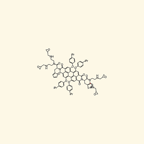 CC(C)c1ccc(Oc2cc3c4c(cc(Oc5ccc(C(C)C)cc5)c5c6c(Oc7ccc(C(C)C)cc7)cc7c8c(cc(Oc9ccc(C(C)C)cc9)c(c2c45)c86)C(=O)N(C(Cc2cccs2)C(=O)N(CCNCC2CO2)CCNCC2CO2)C7=O)C(=O)N(C(Cc2cccs2)C(=O)N(CCNCC2CO2)CCNCC2CO2)C3=O)cc1